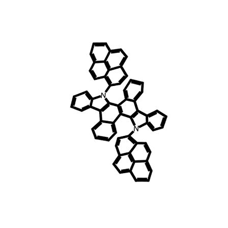 c1cc2ccc3ccc(-n4c5ccccc5c5c6ccccc6c6c(c7ccccc7c7c8ccccc8n(-c8ccc9ccc%10cccc%11ccc8c9c%10%11)c76)c54)c4ccc(c1)c2c34